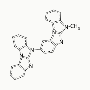 Cn1c2ccccc2n2c3cc(-n4c5ccccc5n5c6ccccc6nc45)ccc3nc12